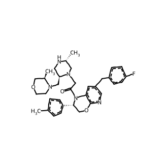 Cc1ccc([C@H]2COc3ncc(Cc4ccc(F)cc4)cc3N2C(=O)CN2C[C@@H](C)NC[C@@H]2CN2CCOC[C@H]2C)cc1